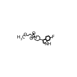 COCCS(=O)(=O)N1CCC(c2c[nH]c3cc(F)ccc23)CC1